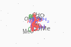 COc1cc2cc(c1Cl)N(C)C(=O)C[C@H](OC(=O)[C@H](C)N(C)C(=O)c1ccc(NC(=O)[C@H](CCCNC(N)=O)NC(=O)[C@@H](N[C@H](C=O)CCCC(C)(C)OC(C=O)(CBr)CBr)C(C)C)c(O)c1)[C@]1(C)O[C@H]1[C@H](C)[C@@H]1C[C@@](O)(NC(=O)O1)[C@H](OC)/C=C/C=C(\C)C2